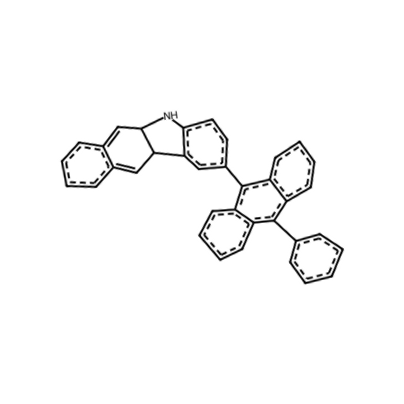 C1=c2ccccc2=CC2c3cc(-c4c5ccccc5c(-c5ccccc5)c5ccccc45)ccc3NC12